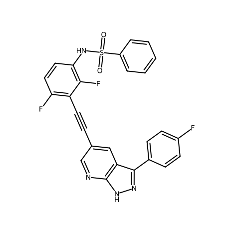 O=S(=O)(Nc1ccc(F)c(C#Cc2cnc3[nH]nc(-c4ccc(F)cc4)c3c2)c1F)c1ccccc1